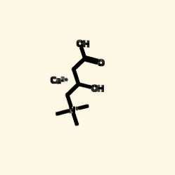 C[N+](C)(C)CC(O)CC(=O)O.[Ca+2]